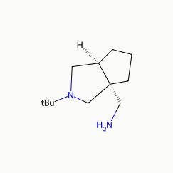 CC(C)(C)N1C[C@H]2CCC[C@@]2(CN)C1